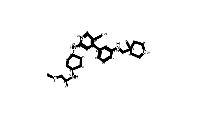 COC[C@H](C)N[C@H]1CC[C@H](Nc2cc(-c3cccc(NCC4(C)CCOCC4)c3)c(F)cn2)CC1